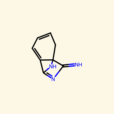 N=C1N=C2NC13CC=CC=C23